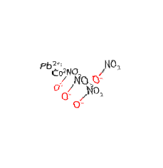 O=[N+]([O-])[O-].O=[N+]([O-])[O-].O=[N+]([O-])[O-].O=[N+]([O-])[O-].[Co+2].[Pb+2]